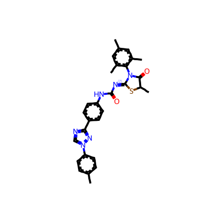 Cc1ccc(-n2cnc(-c3ccc(NC(=O)/N=C4\SC(C)C(=O)N4c4c(C)cc(C)cc4C)cc3)n2)cc1